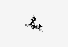 Cc1cc(-c2ccc(Cl)nc2)nc2c(C(=O)N[C@@H](C3CC3)C(F)(F)F)cnn12